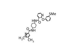 CSc1cccc(Oc2ncccc2C(=O)NC2CCC(NC(=O)c3cc(C)n(C)n3)CC2)c1